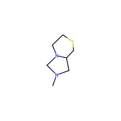 CN1CC2CSCCN2C1